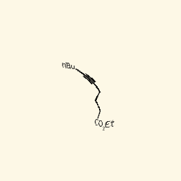 CCCCC#CCCCC(=O)OCC